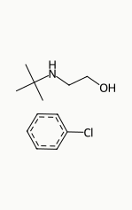 CC(C)(C)NCCO.Clc1ccccc1